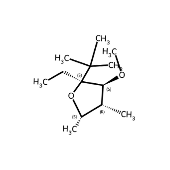 CC[C@@]1(C(C)(C)C)O[C@@H](C)[C@@H](C)[C@@H]1OC